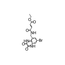 CCOC(=O)C=CC(=O)NCc1cc(Br)cc2[nH]c(=O)c(=O)[nH]c12